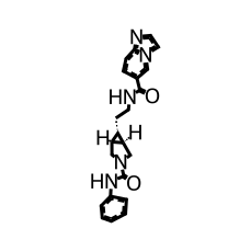 O=C(NCC[C@@H]1[C@H]2CN(C(=O)Nc3ccccc3)C[C@@H]12)c1ccc2nccn2c1